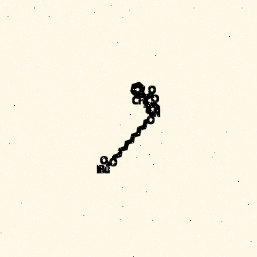 CCC(C)C(=O)OCCCCCCCCCCCOc1cc2cc(-c3ccccc3C(F)(F)F)c(=O)oc2cn1